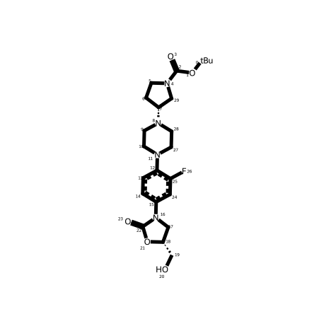 CC(C)(C)OC(=O)N1CC[C@@H](N2CCN(c3ccc(N4C[C@H](CO)OC4=O)cc3F)CC2)C1